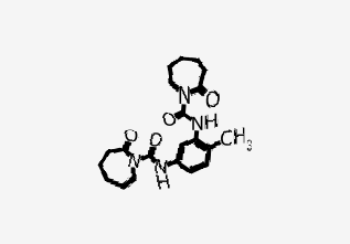 Cc1ccc(NC(=O)N2CCCCCC2=O)cc1NC(=O)N1CCCCCC1=O